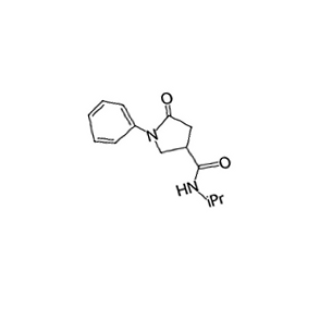 CC(C)NC(=O)C1CC(=O)N(c2ccccc2)C1